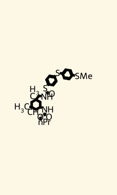 CCCOC(=O)NC1CC(C)(C)CC(C)(CNC(=O)Sc2ccc(Sc3ccc(SC)cc3)cc2)C1